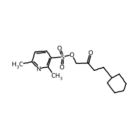 Cc1ccc(S(=O)(=O)OCC(=O)CCC2CCCCC2)c(C)n1